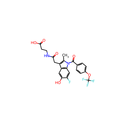 Cc1c(CC(=O)NCCC(=O)O)c2cc(O)c(F)cc2n1C(=O)c1ccc(OC(F)(F)F)cc1